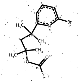 CC(C)(CC(C)(C)c1cccc(Br)n1)OC(N)=O